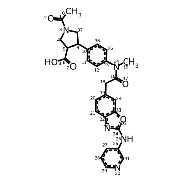 CC(=O)N1CC(C(=O)O)C(c2ccc(N(C)C(=O)Cc3ccc4nc(Nc5cccnc5)oc4c3)cc2)C1